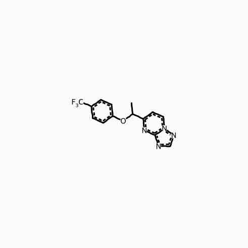 CC(Oc1ccc(C(F)(F)F)cc1)c1ccn2ncnc2n1